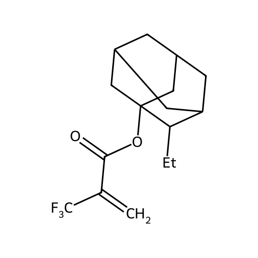 C=C(C(=O)OC12CC3CC(CC(C3)C1CC)C2)C(F)(F)F